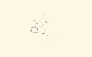 CCCCCC(CCC)C(=O)CC(NC(=O)C(C)CC)c1ccccc1[N+](=O)[O-]